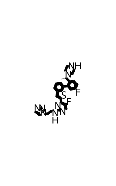 C[C@@H](c1ccc(F)cc1-c1cccc2cc(-c3nc(NCCn4ccnn4)ncc3F)sc12)N1CCNCC1